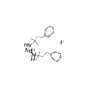 CC(C)(CCc1ccccc1)[NH][Nd+][NH]C(C)(C)CCc1ccccc1.[I-]